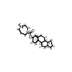 CN1CCCN(C(=O)OC2C=C3CCC4C5CCCC5CCC4C3CC2)CC1